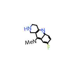 CNc1c2c(nc3ccc(F)cc13)CCNC2